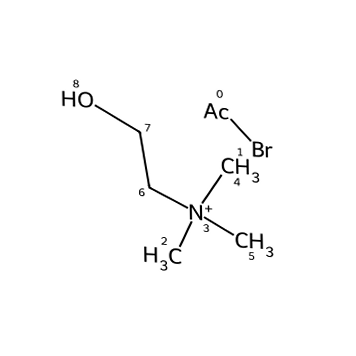 CC(=O)Br.C[N+](C)(C)CCO